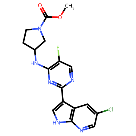 COC(=O)N1CCC(Nc2nc(-c3c[nH]c4ncc(Cl)cc34)ncc2F)C1